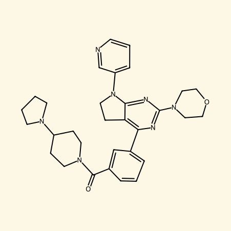 O=C(c1cccc(-c2nc(N3CCOCC3)nc3c2CCN3c2cccnc2)c1)N1CCC(N2CCCC2)CC1